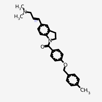 Cc1ccc(COc2ccc(C(=O)N3CCc4cc(/C=C/CN(C)C)ccc43)cc2)cc1